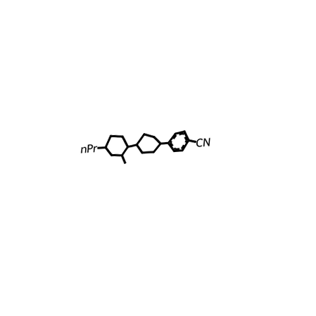 CCCC1CCC(C2CCC(c3ccc(C#N)cc3)CC2)C(C)C1